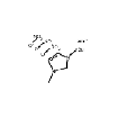 CCCCN1C=CN(C)C1.O=[N+]([O-])[O-].O=[N+]([O-])[O-].O=[N+]([O-])[O-].[Sm+3]